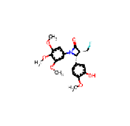 COc1ccc([C@H]2[C@@H](CF)C(=O)N2c2cc(OC)c(OC)c(OC)c2)cc1O